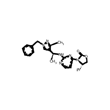 Cc1nn(Cc2ccccc2)cc1[C@H](C)Nc1nccc(N2C(=O)OC[C@@H]2C(C)C)n1